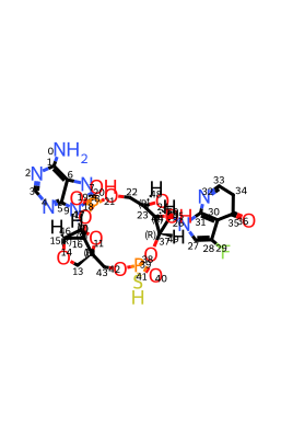 Nc1ncnc2c1ncn2[C@@H]1O[C@@]23CO[C@@H]1[C@@H]2OP(=O)(O)OC[C@H]1O[C@@H](n2cc(F)c4c2N=CCC4=O)[C@H](OP(=O)(S)OC3)[C@@H]1O